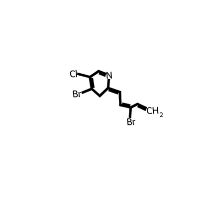 C=C/C(Br)=C\C=C1/CC(Br)=C(Cl)C=N1